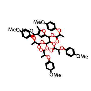 COC(=O)c1cc(C(OC(=O)C(C)Oc2ccc(OC)cc2)C(OC(=O)C(C)Oc2ccc(OC)cc2)C(OC(=O)C(C)OC2=CCC(OC)C=C2)OC(=O)C(C)Oc2ccc(OC)cc2)oc1C